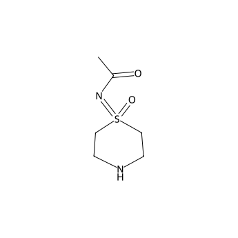 CC(=O)N=S1(=O)CCNCC1